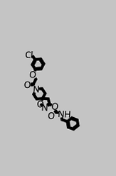 O=C(NCc1ccccc1)OC1=NOC2(CCN(C(=O)COc3cccc(Cl)c3)CC2)C1